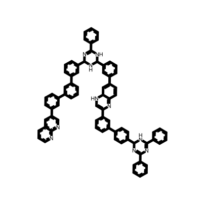 C1=CC2=NC(c3cccc(-c4ccc(C5N=C(c6ccccc6)N=C(c6ccccc6)N5)cc4)c3)=CNC2C=C1c1cccc(C2NC(c3ccccc3)=NC(c3cccc(-c4cccc(-c5cccc(-c6cnc7ncccc7c6)c5)c4)c3)N2)c1